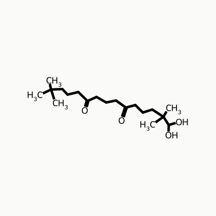 CC(C)(C)CCCC(=O)CCCC(=O)CCCC(C)(C)C(O)O